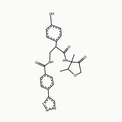 CC1OCC(=O)C1(C)NC(=O)C(CNC(=O)c1ccc(-c2cnns2)cc1)c1ccc(O)cc1